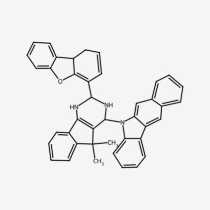 CC1(C)C2=C(NC(C3=C4Oc5ccccc5C4CC=C3)NC2n2c3ccccc3c3cc4ccccc4cc32)c2ccccc21